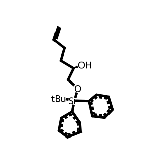 C=CCC[C@@H](O)CO[Si](c1ccccc1)(c1ccccc1)C(C)(C)C